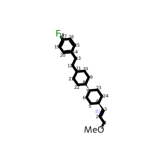 COC/C=C/[C@H]1CC[C@H](C2CCC(CCc3ccc(F)cc3)CC2)CC1